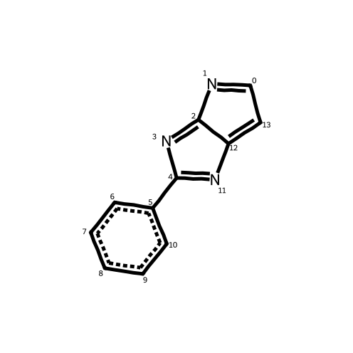 C1=NC2=NC(c3ccccc3)=NC2=C1